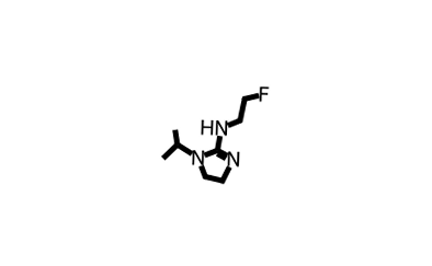 CC(C)N1CCN=C1NCCF